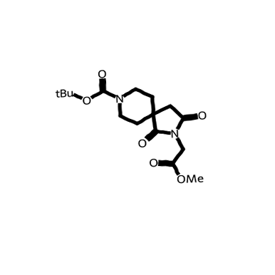 COC(=O)CN1C(=O)CC2(CCN(C(=O)OC(C)(C)C)CC2)C1=O